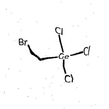 [Cl][Ge]([Cl])([Cl])[CH2]Br